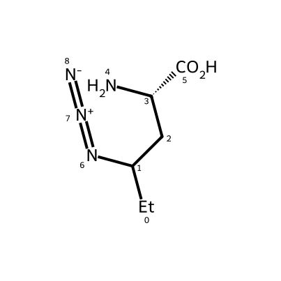 CCC(C[C@H](N)C(=O)O)N=[N+]=[N-]